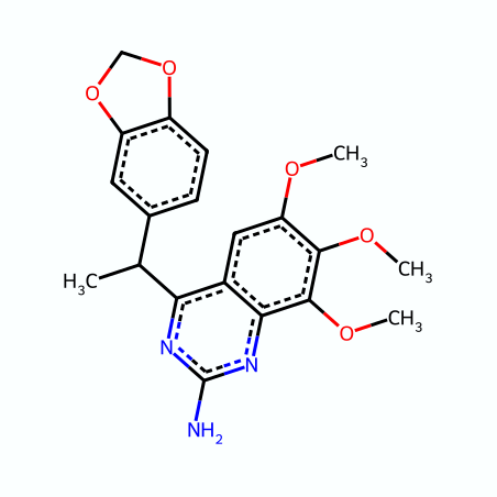 COc1cc2c(C(C)c3ccc4c(c3)OCO4)nc(N)nc2c(OC)c1OC